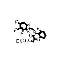 CCOC(=O)CC1Oc2cccc(F)c2N(Cc2nc3c(F)c(F)c(F)cc3s2)C1=O